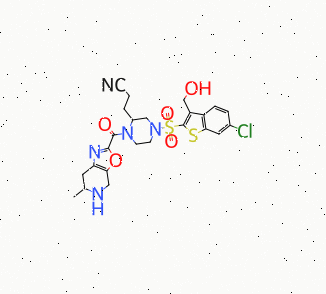 CC1Cc2nc(C(=O)N3CCN(S(=O)(=O)c4sc5cc(Cl)ccc5c4CO)CC3CCC#N)oc2CN1